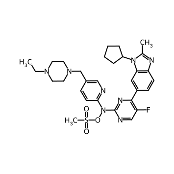 CCN1CCN(Cc2ccc(N(OS(C)(=O)=O)c3ncc(F)c(-c4ccc5nc(C)n(C6CCCC6)c5c4)n3)nc2)CC1